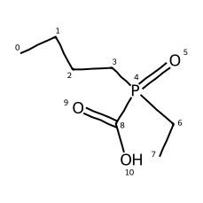 CCCCP(=O)(CC)C(=O)O